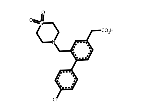 O=C(O)Cc1ccc(-c2ccc(Cl)cc2)c(CN2CCS(=O)(=O)CC2)c1